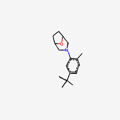 Cc1ccc(C(C)(C)C)cc1N1CC2CCC(C1)O2